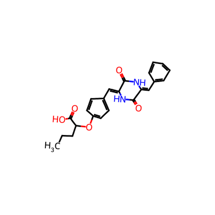 CCCC(Oc1ccc(C=c2[nH]c(=O)c(=Cc3ccccc3)[nH]c2=O)cc1)C(=O)O